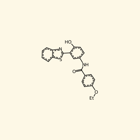 CCOc1ccc(C(=O)Nc2ccc(O)c(-c3nc4ccccc4s3)c2)cc1